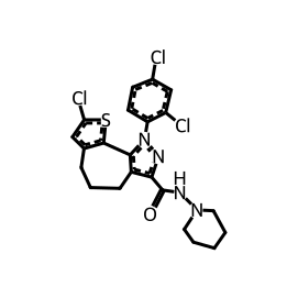 O=C(NN1CCCCC1)c1nn(-c2ccc(Cl)cc2Cl)c2c1CCCc1cc(Cl)sc1-2